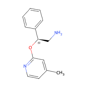 Cc1ccnc(O[C@H](CN)c2ccccc2)c1